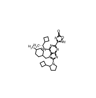 CC1CCC(Cn2c(N3CCCC3C3CCC3)nc3nc(-c4nc(=O)o[nH]4)nc(N[C@H](C)C4CCC4)c32)CC1